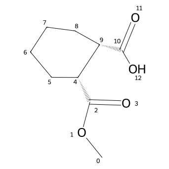 COC(=O)[C@@H]1CCCC[C@@H]1C(=O)O